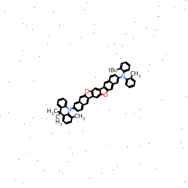 Cc1ccccc1N(c1ccc2cc3c(cc2c1)oc1cc2c(cc13)oc1cc3cc(N4c5ccccc5C(C)(C)c5cccc(C)c54)ccc3cc12)c1ccccc1C(C)(C)C